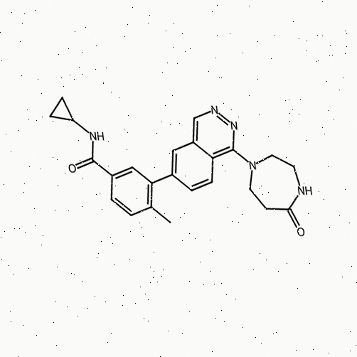 Cc1ccc(C(=O)NC2CC2)cc1-c1ccc2c(N3CCNC(=O)CC3)nncc2c1